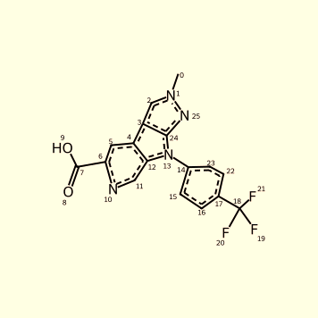 Cn1cc2c3cc(C(=O)O)ncc3n(-c3ccc(C(F)(F)F)cc3)c2n1